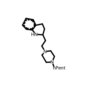 CCCCCN1CCN(CCC2CCc3ccccc3N2)CC1